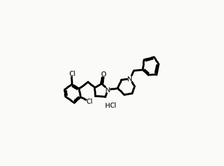 Cl.O=C1C(Cc2c(Cl)cccc2Cl)CCN1C1CCCN(Cc2ccccc2)C1